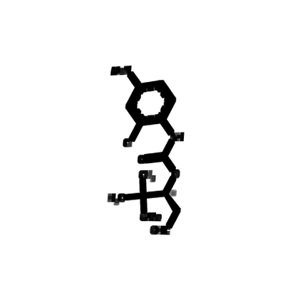 CNc1ccc(NC(=O)O[C@@H](CC=O)C(C)(C)OC)c(Cl)c1